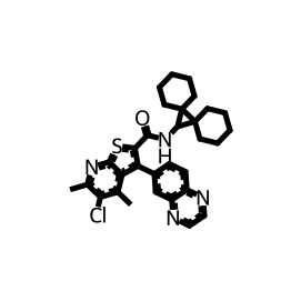 Cc1nc2sc(C(=O)NC3C4(CCCCC4)C34CCCCC4)c(-c3ccc4nccnc4c3)c2c(C)c1Cl